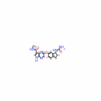 CC(C)NC(=O)c1c[nH]c2ncc(Oc3ccc4c(c3)[C@H](NC(N)=O)CC4)nc12